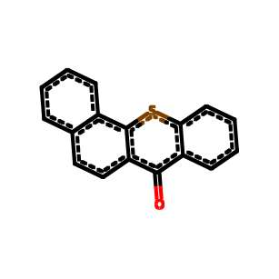 O=c1c2ccccc2sc2c1ccc1ccccc12